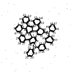 c1ccc(-c2cc(-c3ccc(N(c4ccccc4)c4ccccc4)cc3-c3ccccc3)c(-c3ccc(N(c4ccccc4)c4ccccc4)cc3-c3ccccc3)cc2-c2ccccc2)cc1